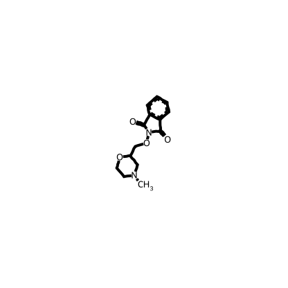 CN1CCOC(CON2C(=O)c3ccccc3C2=O)C1